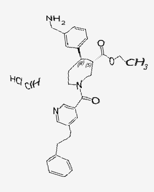 CCOC(=O)[C@@H]1CN(C(=O)c2cncc(CCc3ccccc3)c2)CC[C@H]1c1cccc(CN)c1.Cl.Cl